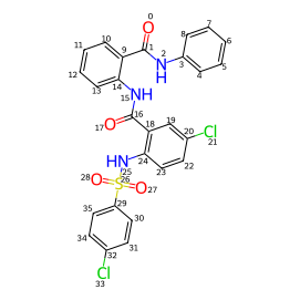 O=C(Nc1ccccc1)c1ccccc1NC(=O)c1cc(Cl)ccc1NS(=O)(=O)c1ccc(Cl)cc1